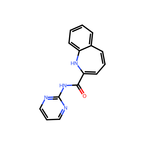 O=C(Nc1ncccn1)C1=CC=Cc2ccccc2N1